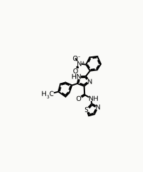 Cc1ccc(-c2[nH]c(-c3ccccc3[N+](=O)[O-])nc2C(=O)Nc2nccs2)cc1